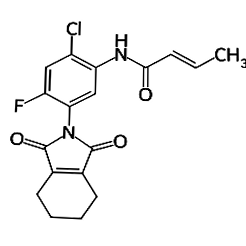 CC=CC(=O)Nc1cc(N2C(=O)C3=C(CCCC3)C2=O)c(F)cc1Cl